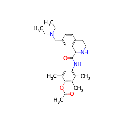 CCN(CC)Cc1ccc2c(c1)C(C(=O)Nc1cc(C)c(OC(C)=O)c(C)c1C)NCC2